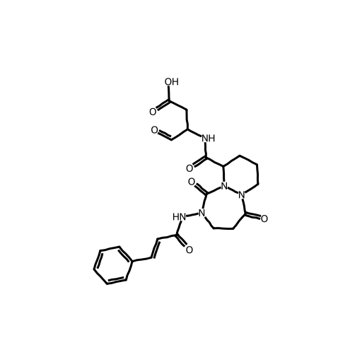 O=CC(CC(=O)O)NC(=O)C1CCCN2C(=O)CCN(NC(=O)/C=C/c3ccccc3)C(=O)N12